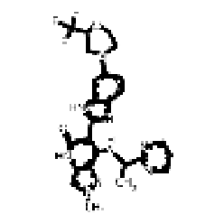 CC(Nc1c(-c2nc3ccc(N4CCOC(C(F)(F)F)C4)cc3[nH]2)c(=O)[nH]c2cn(C)nc12)c1ncccn1